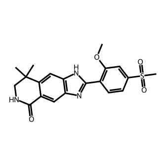 COc1cc(S(C)(=O)=O)ccc1-c1nc2cc3c(cc2[nH]1)C(C)(C)CNC3=O